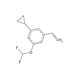 C=Cc1cc(OC(F)F)cc(C2CC2)c1